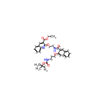 CCOC(=O)c1cc2ccccc2nc1OCCNC(=O)c1cc2ccccc2cc1OCCCNC(=O)OC(C)(C)C